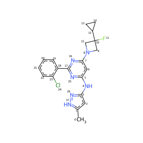 Cc1cc(Nc2cc(N3CC(F)(C4CC4)C3)nc(-c3ccccc3Cl)n2)n[nH]1